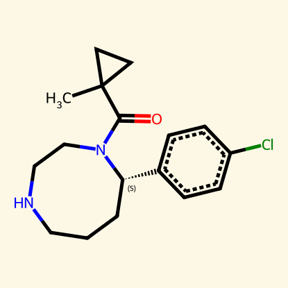 CC1(C(=O)N2CCNCCC[C@H]2c2ccc(Cl)cc2)CC1